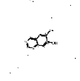 CC(C)c1cc2cncnc2cc1O